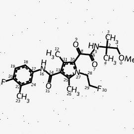 COCC(C)(C)NC(=O)C(=O)c1c(C)c(C(=O)Nc2ccc(F)c(C)c2)c(C)n1CCF